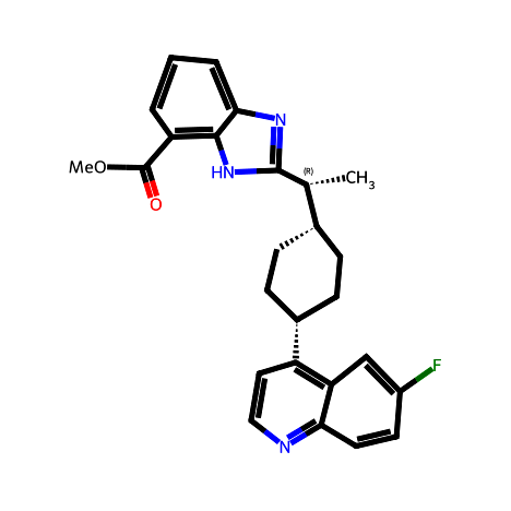 COC(=O)c1cccc2nc([C@H](C)[C@H]3CC[C@@H](c4ccnc5ccc(F)cc54)CC3)[nH]c12